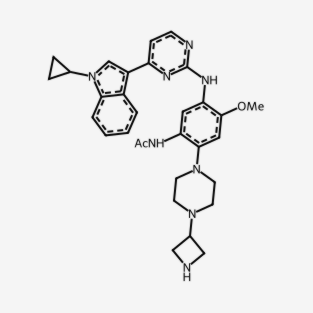 COc1cc(N2CCN(C3CNC3)CC2)c(NC(C)=O)cc1Nc1nccc(-c2cn(C3CC3)c3ccccc23)n1